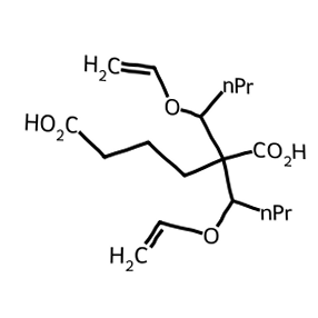 C=COC(CCC)C(CCCC(=O)O)(C(=O)O)C(CCC)OC=C